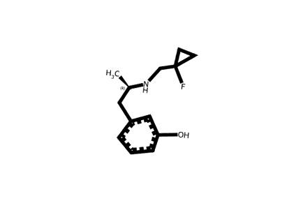 C[C@H](Cc1cccc(O)c1)NCC1(F)CC1